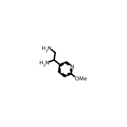 COc1ccc(C(N)CN)cn1